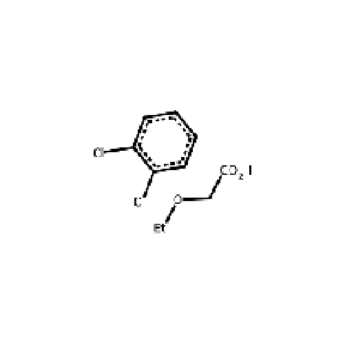 CCOCC(=O)O.Clc1ccccc1Cl